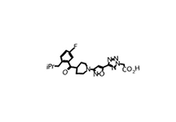 CC(C)Cc1ccc(F)cc1C(=O)C1CCN(c2cc(-c3nnn(CC(=O)O)n3)on2)CC1